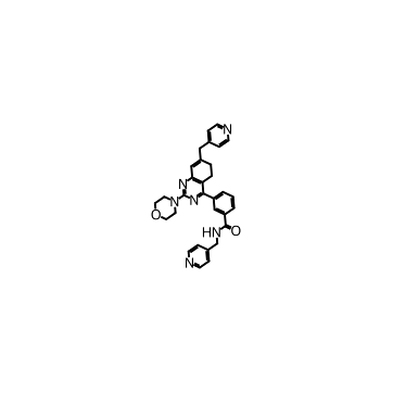 O=C(NCc1ccncc1)c1cccc(-c2nc(N3CCOCC3)nc3c2CCC(Cc2ccncc2)=C3)c1